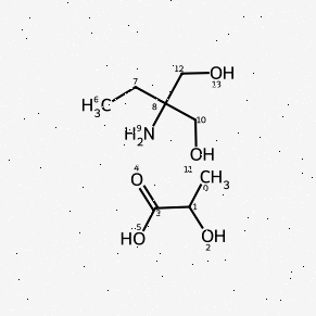 CC(O)C(=O)O.CCC(N)(CO)CO